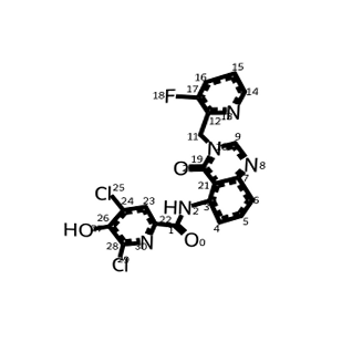 O=C(Nc1cccc2ncn(Cc3ncccc3F)c(=O)c12)c1cc(Cl)c(O)c(Cl)n1